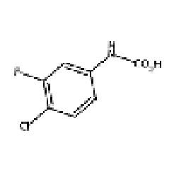 O=C(O)Nc1ccc(Cl)c(F)c1